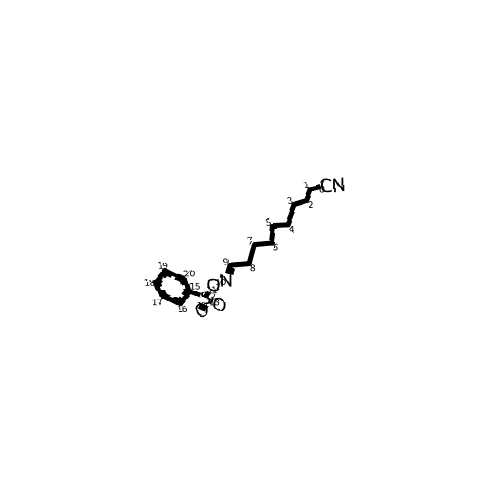 N#CCCCCCCCCC=NOS(=O)(=O)c1ccccc1